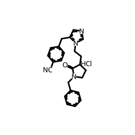 Cl.N#Cc1ccc(Cc2cncn2CCC2CCN(Cc3ccccc3)C2=O)cc1